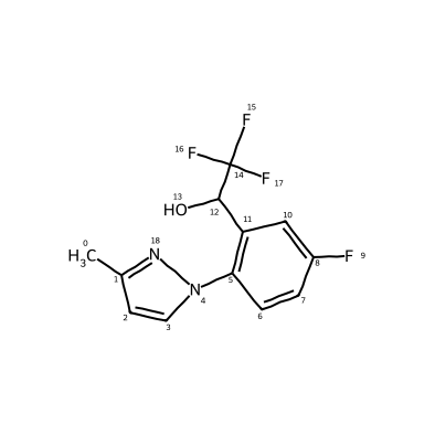 Cc1ccn(-c2ccc(F)cc2C(O)C(F)(F)F)n1